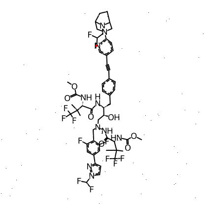 COC(=O)N[C@H](C(=O)N[C@@H](Cc1ccc(C#Cc2ccc(N3CC4CCC(C3)N4CC(F)F)nc2)cc1)[C@@H](O)CN(Cc1c(F)cc(-c2ccn(C(F)F)n2)cc1F)NC(=O)[C@@H](NC(=O)OC)C(C)(C)C(F)(F)F)C(C)(C)C(F)(F)F